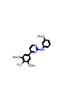 COc1cccc(Nc2nccc(-c3cc(OC)c(C)c(OC)c3)n2)c1